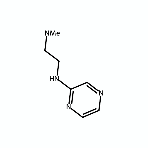 CNCCNc1cnccn1